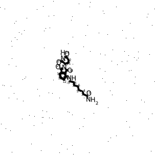 NC(=O)CCCCCCCNc1cccc2c1C(=O)N(C1CCC(=O)NC1=O)C2=O